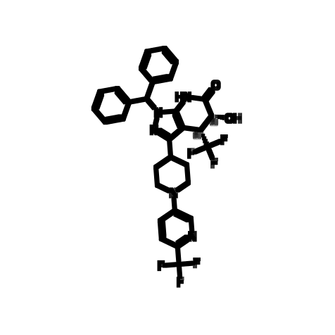 O=C1Nc2c(c(C3CCN(c4ccc(C(F)(F)F)nc4)CC3)nn2C(c2ccccc2)c2ccccc2)[C@@H](C(F)(F)F)[C@H]1O